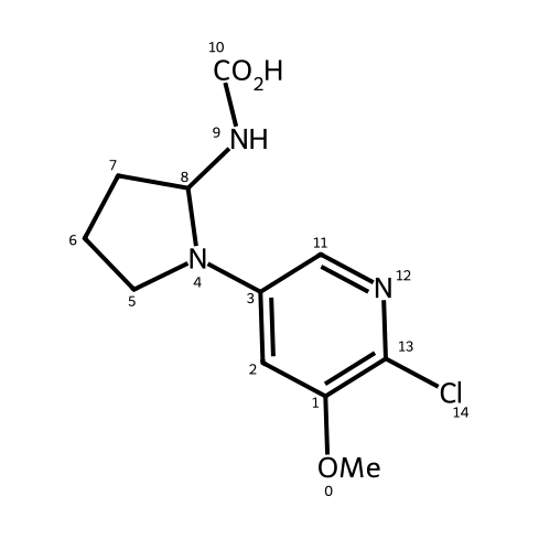 COc1cc(N2CCCC2NC(=O)O)cnc1Cl